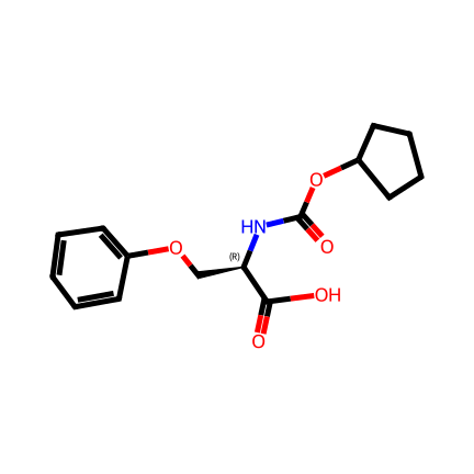 O=C(N[C@H](COc1ccccc1)C(=O)O)OC1CCCC1